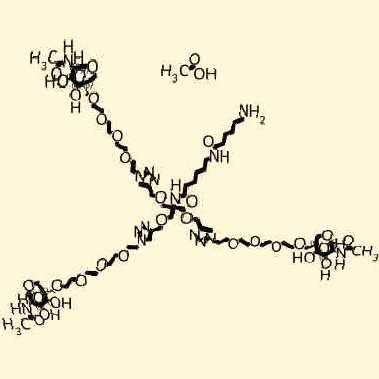 CC(=O)N[C@H]1[C@H]2OC[C@](COCCOCCOCCOCCn3cc(COCC(COCc4cn(CCOCCOCCOCCOC[C@@]56CO[C@@H](O5)[C@H](NC(C)=O)[C@@H](O)[C@H]6O)nn4)(COCc4cn(CCOCCOCCOCCOC[C@@]56CO[C@@H](O5)[C@H](NC(C)=O)[C@@H](O)[C@H]6O)nn4)NC(=O)CCCCCNC(=O)CCCCCN)nn3)(O2)[C@H](O)[C@@H]1O.CC(=O)O